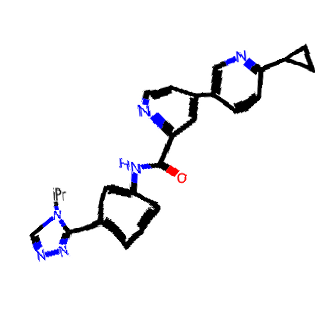 CC(C)n1cnnc1-c1cccc(NC(=O)c2cc(-c3ccc(C4CC4)nc3)ccn2)c1